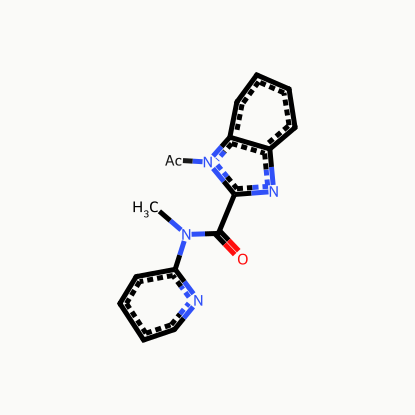 CC(=O)n1c(C(=O)N(C)c2ccccn2)nc2ccccc21